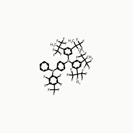 CC(C)(c1cc(N(c2ccc(N(c3ccccc3)c3c(F)c(F)c(C(F)(F)F)c(F)c3F)cc2)c2cc(C(C)(C(F)(F)F)C(F)(F)F)cc(C(C)(C(F)(F)F)C(F)(F)F)c2)cc(C(C)(C(F)(F)F)C(F)(F)F)c1)C(F)(F)F